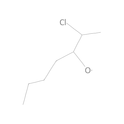 CCCCC([O])C(C)Cl